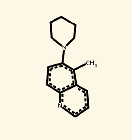 Cc1c(N2CCCCC2)ccc2ncccc12